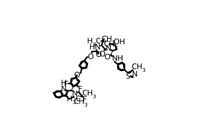 Cc1ncsc1-c1ccc(CNC(=O)[C@@H]2C[C@@H](O)CN2C(=O)[C@@H](NC(=O)COCc2ccc(COc3cc(F)c([C@@H]4c5[nH]c6ccccc6c5C[C@@H](C)N4CC(C)(C)F)c(F)c3)cc2)C(C)(C)C)cc1